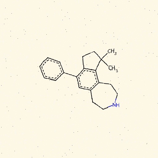 CC1(C)CCc2c(-c3ccccc3)cc3c(c21)CCNCC3